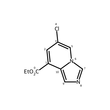 CCOC(=O)c1cc(Cl)cn2cncc12